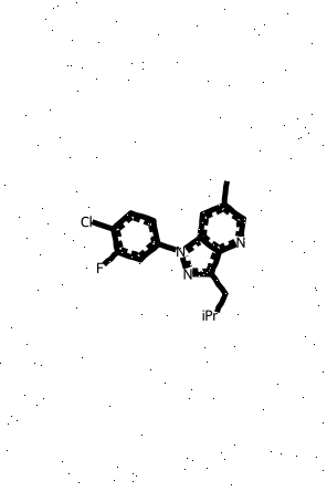 Cc1cnc2c(CC(C)C)nn(-c3ccc(Cl)c(F)c3)c2c1